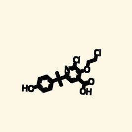 CC(C)(c1ccc(O)cc1)c1cc(C(=O)O)c(OCCCl)c(Cl)n1